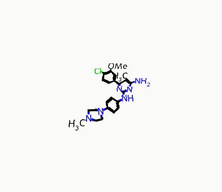 COc1cc(-c2nc(Nc3ccc(N4CCN(C)CC4)cc3)nc(N)c2C)ccc1Cl